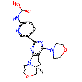 O=C(O)Nc1ccc(-c2nc(N3CCOCC3)c3c(n2)N2CCOC[C@@H]2C3)cn1